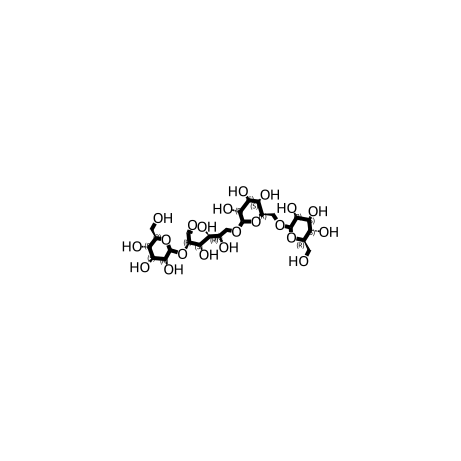 O=C[C@H](OC1O[C@H](CO)[C@@H](O)[C@H](O)[C@H]1O)[C@@H](O)[C@H](O)[C@H](O)COC1O[C@H](COC2O[C@H](CO)[C@@H](O)[C@H](O)[C@H]2O)[C@@H](O)[C@H](O)[C@H]1O